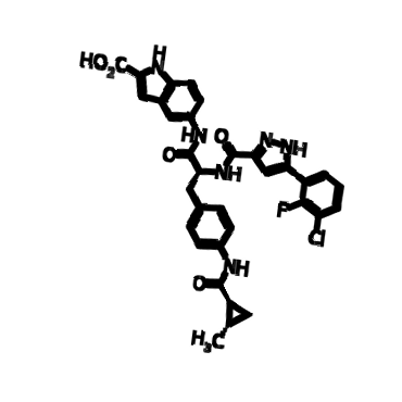 C[C@H]1C[C@@H]1C(=O)Nc1ccc(C[C@H](NC(=O)c2cc(-c3cccc(Cl)c3F)[nH]n2)C(=O)Nc2ccc3[nH]c(C(=O)O)cc3c2)cc1